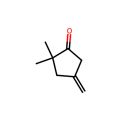 C=C1CC(=O)C(C)(C)C1